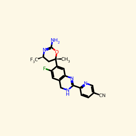 C[C@@]1(c2cc3c(cc2F)CNC(c2ccc(C#N)cn2)=N3)C[C@@H](C(F)(F)F)N=C(N)O1